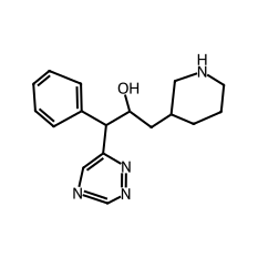 OC(CC1CCCNC1)C(c1ccccc1)c1cncnn1